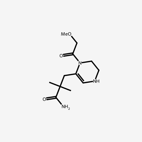 COCC(=O)N1CCNC=C1CC(C)(C)C(N)=O